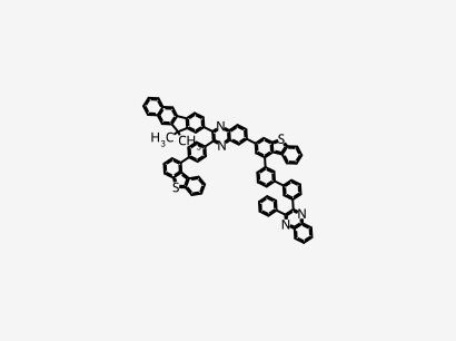 CC1(C)c2cc(-c3nc4ccc(-c5cc(-c6cccc(-c7cccc(-c8nc9ccccc9nc8-c8ccccc8)c7)c6)c6c(c5)sc5ccccc56)cc4nc3-c3ccc(-c4cccc5sc6ccccc6c45)cc3)ccc2-c2cc3ccccc3cc21